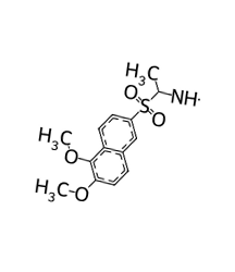 COc1ccc2cc(S(=O)(=O)C(C)[NH])ccc2c1OC